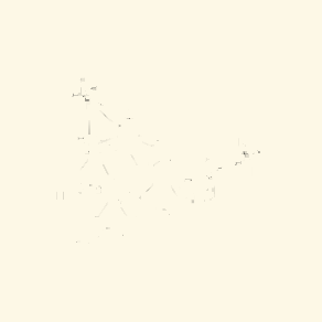 CCCCCCCc1ccc([I+]c2ccc(CCCCCCC)cc2)cc1.Cc1ccc([I+]c2ccccc2)cc1.Cc1ccc([IH+])cc1.F[B-](F)(F)F.F[B-](F)(F)F.F[B-](F)(F)F